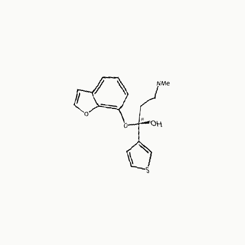 CNCC[C@@](O)(Oc1cccc2ccoc12)c1ccsc1